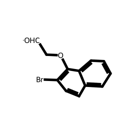 O=[C]COc1c(Br)ccc2ccccc12